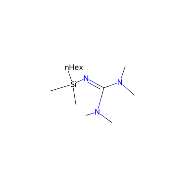 CCCCCC[Si](C)(C)N=C(N(C)C)N(C)C